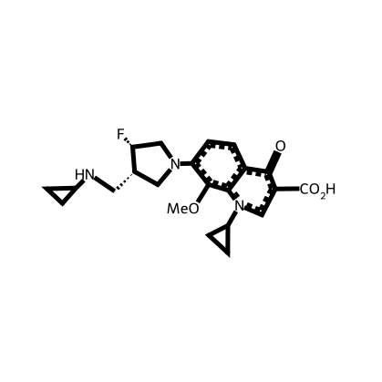 COc1c(N2C[C@H](CNC3CC3)[C@H](F)C2)ccc2c(=O)c(C(=O)O)cn(C3CC3)c12